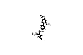 Cc1cc2c(cc1-c1ccc(NC(=O)c3c(Cl)c(C)cn3C)cc1)OC(F)(F)O2